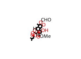 COC(=O)[C@@]12C[C@H](O)C3[C@@]4(C)CC(=O)C(OCC=O)=C(C)C4C[C@H]4OC(=O)[C@H](OC(=O)C=C(C)C)[C@@H]1[C@@]34CO2